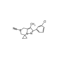 Cc1c(-c2cccc(Cl)c2)nn2c1CB(C#N)CC21CC1